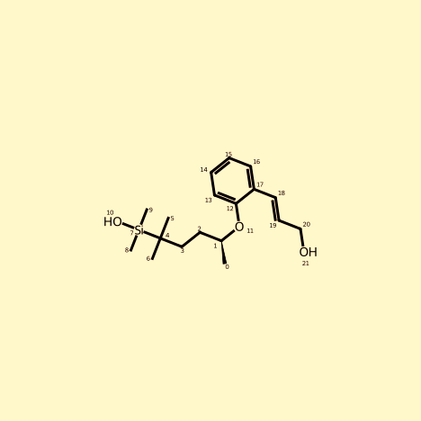 C[C@@H](CCC(C)(C)[Si](C)(C)O)Oc1ccccc1/C=C/CO